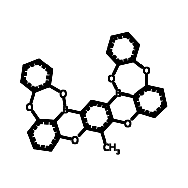 Cc1c2c(cc3c1Oc1cccc4c1B3Oc1ccccc1O4)B1Oc3ccccc3Oc3cccc(c31)O2